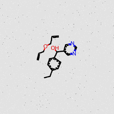 C=CCOCC=C.CCc1ccc(C(O)c2cncnc2)cc1